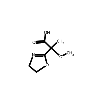 COC(C)(C(=O)O)C1=NCCO1